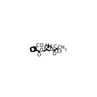 CCC(C)(C)C(=O)OCC(O)COC(=O)C1C2C=CC(C2)C1C(=O)O